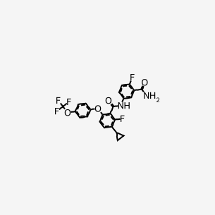 NC(=O)c1cc(NC(=O)c2c(Oc3ccc(OC(F)(F)F)cc3)ccc(C3CC3)c2F)ccc1F